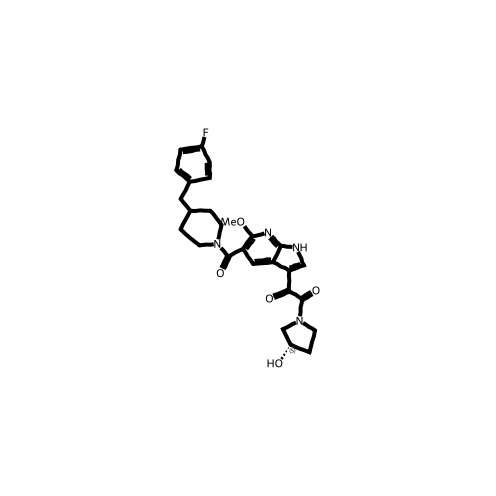 COc1nc2[nH]cc(C(=O)C(=O)N3CC[C@H](O)C3)c2cc1C(=O)N1CCC(Cc2ccc(F)cc2)CC1